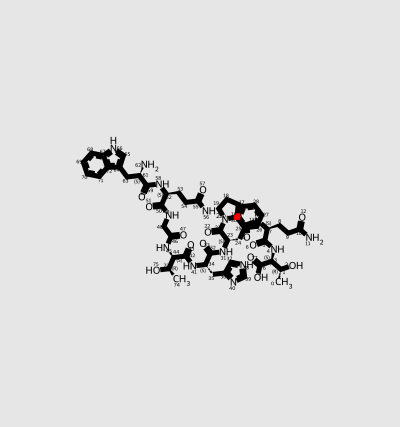 C[C@@H](O)[C@H](NC(=O)[C@H](CCC(N)=O)NC(=O)[C@@H]1CCCN1C(=O)[C@H](Cc1ccccc1)NC(=O)[C@H](Cc1c[nH]cn1)NC(=O)[C@@H](NC(=O)CNC(=O)[C@H](CCC(N)=O)NC(=O)[C@@H](N)Cc1c[nH]c2ccccc12)[C@@H](C)O)C(=O)O